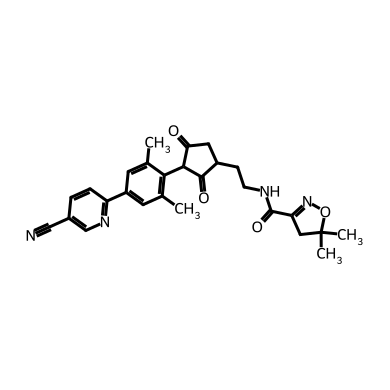 Cc1cc(-c2ccc(C#N)cn2)cc(C)c1C1C(=O)CC(CCNC(=O)C2=NOC(C)(C)C2)C1=O